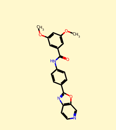 COc1cc(OC)cc(C(=O)Nc2ccc(-c3nc4ccncc4o3)cc2)c1